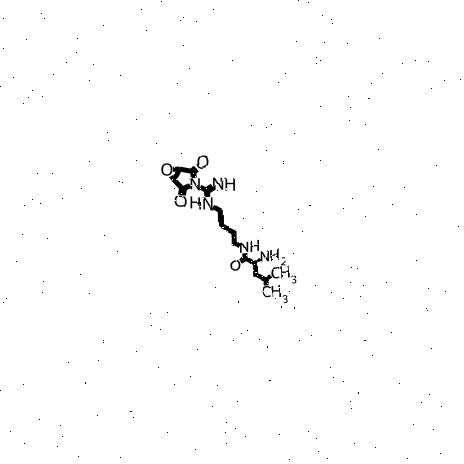 CC(C)C[C@H](N)C(=O)NCCCCNC(=N)N1C(=O)C2OC2C1=O